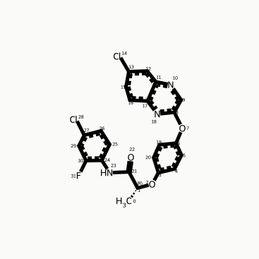 C[C@@H](Oc1ccc(Oc2cnc3cc(Cl)ccc3n2)cc1)C(=O)Nc1ccc(Cl)cc1F